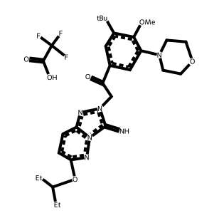 CCC(CC)Oc1ccc2nn(CC(=O)c3cc(N4CCOCC4)c(OC)c(C(C)(C)C)c3)c(=N)n2n1.O=C(O)C(F)(F)F